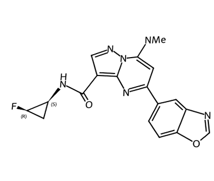 CNc1cc(-c2ccc3ocnc3c2)nc2c(C(=O)N[C@H]3C[C@H]3F)cnn12